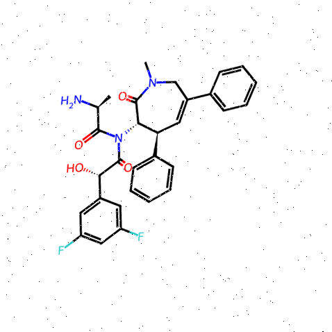 C[C@H](N)C(=O)N(C(=O)[C@@H](O)c1cc(F)cc(F)c1)[C@@H]1C(=O)N(C)CC(c2ccccc2)=C[C@H]1c1ccccc1